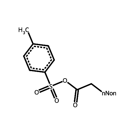 CCCCCCCCCCC(=O)OS(=O)(=O)c1ccc(C)cc1